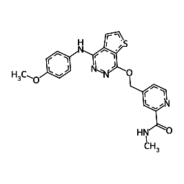 CNC(=O)c1cc(COc2nnc(Nc3ccc(OC)cc3)c3ccsc23)ccn1